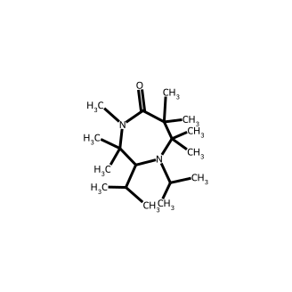 CC(C)C1N(C(C)C)C(C)(C)C(C)(C)C(=O)N(C)C1(C)C